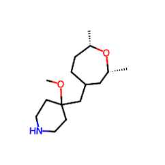 COC1(CC2CC[C@H](C)O[C@H](C)C2)CCNCC1